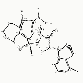 Cc1ncnc2c1ccn2[C@@H]1O[C@H]([C@](C)(O)c2cc(C(F)F)c(F)c3c2CNCC3)[C@@](C)(O)[C@H]1O